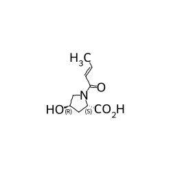 CC=CC(=O)N1C[C@H](O)C[C@H]1C(=O)O